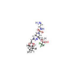 CC1(C)[C@H]2C[C@@H]3OB(CCC[C@@H]4CN(S(=O)(=O)NCCN)C[C@]4(N)C(=O)O)O[C@]3(C)[C@@H]1C2.O=C(O)C(F)(F)F